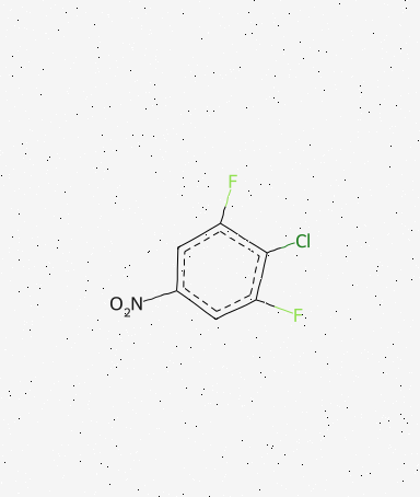 O=[N+]([O-])c1cc(F)c(Cl)c(F)c1